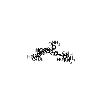 Bc1c(B)c(O)c(C#Cc2ccc(C3SC(CC(=O)NC(B)(O)C(O)(O)c4ccc(OC(O)(O)O)c(OCC)c4)C(=O)N3c3cccc(C(N)=O)c3)cc2)c(O)c1O